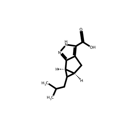 CC(C)CC1[C@H]2c3n[nH]c(C(=O)O)c3C[C@@H]12